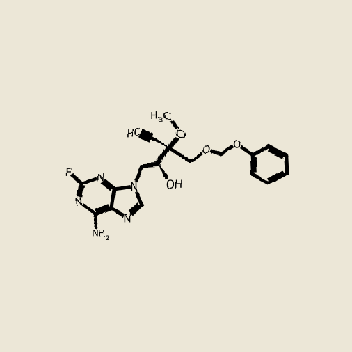 C#C[C@](COCOc1ccccc1)(OC)[C@@H](O)Cn1cnc2c(N)nc(F)nc21